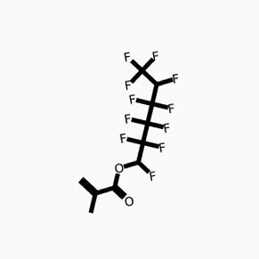 C=C(C)C(=O)OC(F)C(F)(F)C(F)(F)C(F)(F)C(F)C(F)(F)F